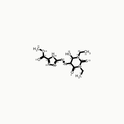 CCN1C(=O)C(N=Nc2nnc(C(=O)OC)[nH]2)C(O)N(CC)C1=S